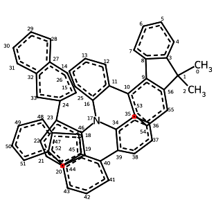 CC1(C)c2ccccc2-c2c(-c3ccccc3N(c3ccccc3-c3ccc4ccccc4c3)c3ccccc3-c3cccc4c3sc3ccccc34)cccc21